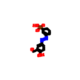 O=Cc1cc(N=Nc2cccc(S(=O)(=O)O)c2)ccc1O